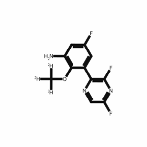 [2H]C([2H])([2H])Oc1c(N)cc(F)cc1-c1ncc(F)nc1F